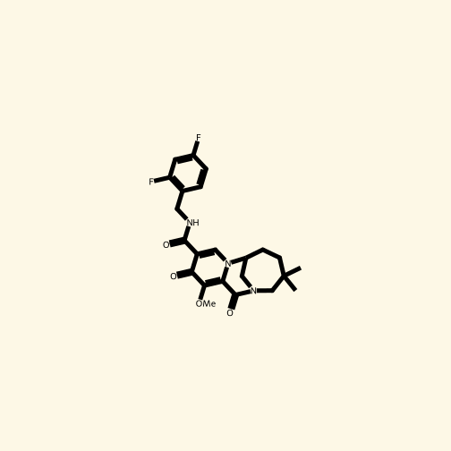 COc1c2n(cc(C(=O)NCc3ccc(F)cc3F)c1=O)C1CCC(C)(C)CN(C1)C2=O